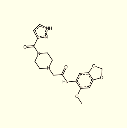 COc1cc2c(cc1NC(=O)CN1CCN(C(=O)c3cc[nH]n3)CC1)OCO2